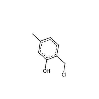 Cc1ccc(CCl)c(O)c1